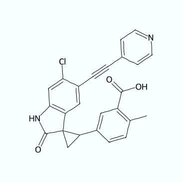 Cc1ccc(C2CC23C(=O)Nc2cc(Cl)c(C#Cc4ccncc4)cc23)cc1C(=O)O